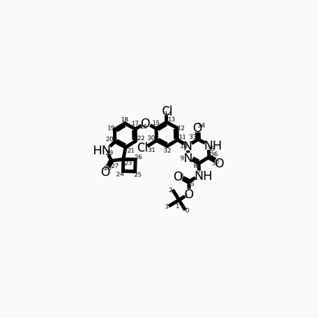 CC(C)(C)OC(=O)Nc1nn(-c2cc(Cl)c(Oc3ccc4c(c3)C3(CCC3)C(=O)N4)c(Cl)c2)c(=O)[nH]c1=O